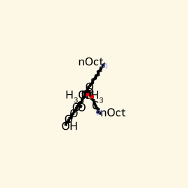 CCCCCCCC/C=C\CCCCCCCCCOCC(C[N+](C)(C)CCCCC(=O)OCCOCCOCCO)OCCCCCCCC/C=C\CCCCCCCC